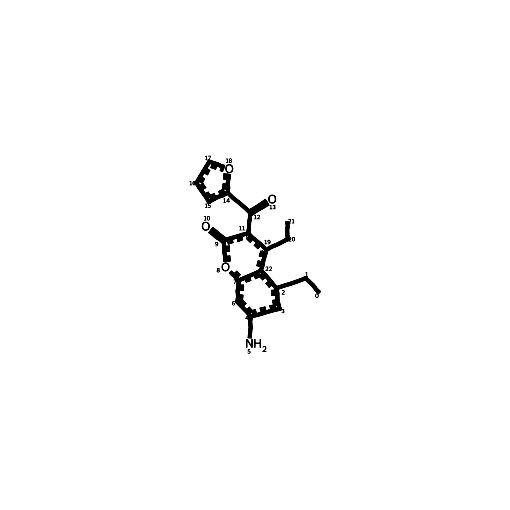 CCc1cc(N)cc2oc(=O)c(C(=O)c3ccco3)c(CC)c12